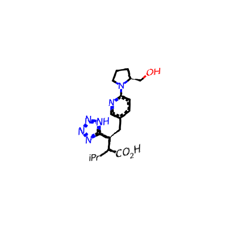 CC(C)C(C(=O)O)[C@H](Cc1ccc(N2CCC[C@H]2CO)nc1)c1nnn[nH]1